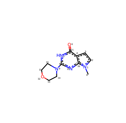 Cn1ccc2c(=O)[nH]c(N3CCOCC3)nc21